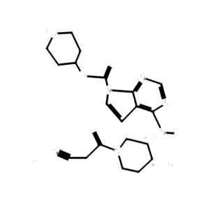 C[C@@H]1CCN(C(=O)CC#N)C[C@@H]1N(C)c1ncnc2c1ccn2C(=O)OC1CCNCC1.Cl